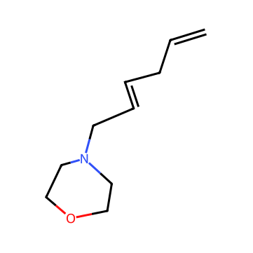 C=CC/C=C/CN1CCOCC1